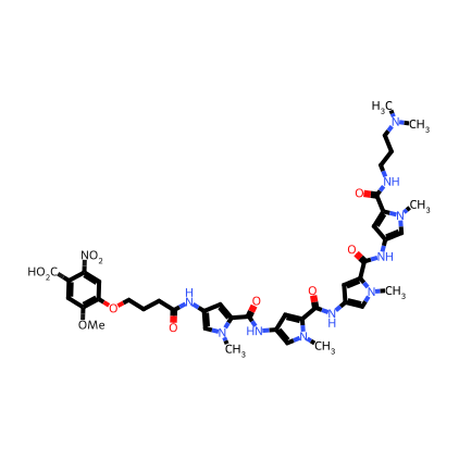 COc1cc(C(=O)O)c([N+](=O)[O-])cc1OCCCC(=O)Nc1cc(C(=O)Nc2cc(C(=O)Nc3cc(C(=O)Nc4cc(C(=O)NCCCN(C)C)n(C)c4)n(C)c3)n(C)c2)n(C)c1